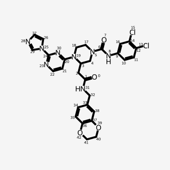 O=C(CC1CN(C(=O)Nc2ccc(Cl)c(Cl)c2)CCN1c1ccnc(-n2ccnc2)n1)NCc1ccc2c(c1)OCCO2